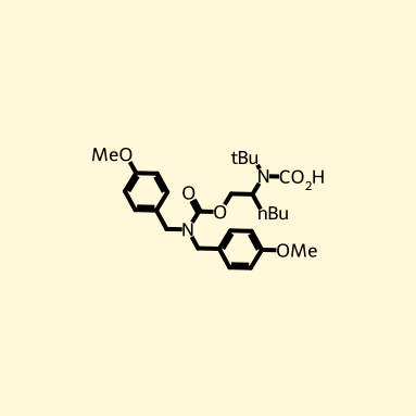 CCCCC(COC(=O)N(Cc1ccc(OC)cc1)Cc1ccc(OC)cc1)N(C(=O)O)C(C)(C)C